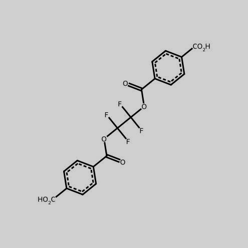 O=C(O)c1ccc(C(=O)OC(F)(F)C(F)(F)OC(=O)c2ccc(C(=O)O)cc2)cc1